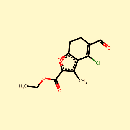 CCOC(=O)c1oc2c(c1C)C(Cl)=C(C=O)CC2